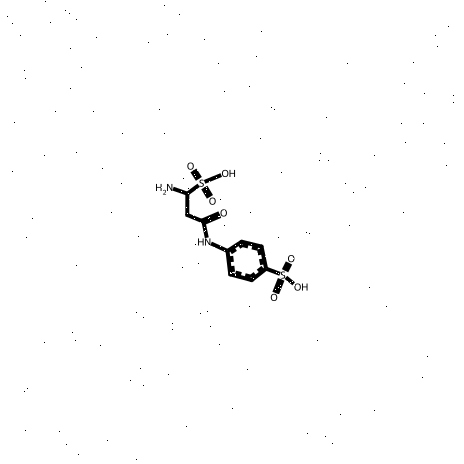 NC(CC(=O)Nc1ccc(S(=O)(=O)O)cc1)S(=O)(=O)O